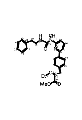 CCO[C@@H](Cc1ccc(-c2cccc(N(C)C(=O)NCCc3ccccc3)n2)cc1)C(=O)OC